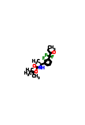 CCC(=O)C(F)(F)c1cccc([C@@H](C)NC(=O)OC(C)(C)C)c1F